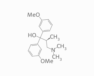 COc1cccc(C(O)(c2cccc(OC)c2)[C@@H](C)CN(C)C)c1